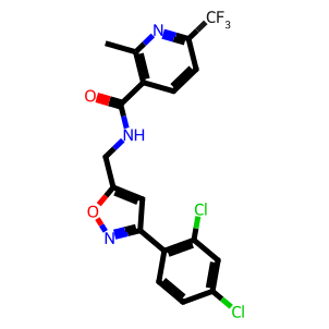 Cc1nc(C(F)(F)F)ccc1C(=O)NCc1cc(-c2ccc(Cl)cc2Cl)no1